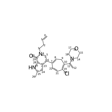 C=CCCn1cc(C2=CCC(C(=C)N3CCOCC3)=C(Cl)C=C2)c2cc(C)[nH]c2c1=O